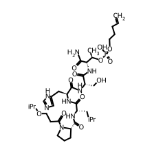 C=CCCCOP(=O)(O)O[C@H](C)[C@H](NC(=O)[C@H](CO)NC(=O)[C@H](Cc1cnc[nH]1)NC(=O)[C@H](CC(C)C)NC(=O)[C@@H]1CCCN1C(=O)CCOC(C)C)C(N)=O